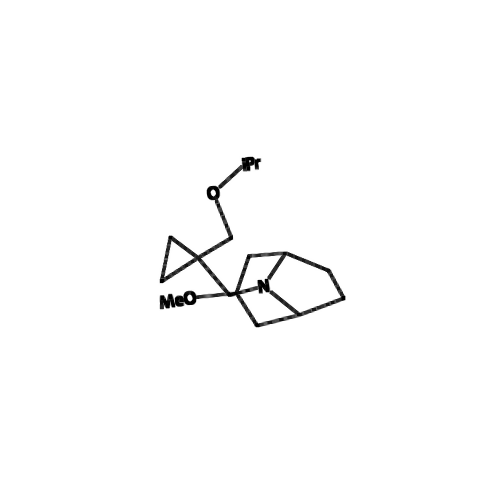 COC1CC2CCC(C1)N2CC1(COC(C)C)CC1